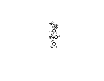 COc1cc(C(C)(C)c2cnc(SCc3c(F)cc(S(=O)(=O)N[C@H]4CCC[N+](C)(C)C4)cc3Cl)n2-c2ccc(F)cc2)ccc1Cl